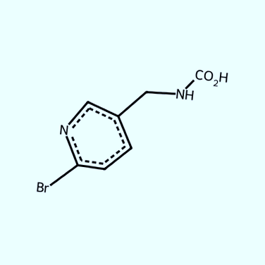 O=C(O)NCc1ccc(Br)nc1